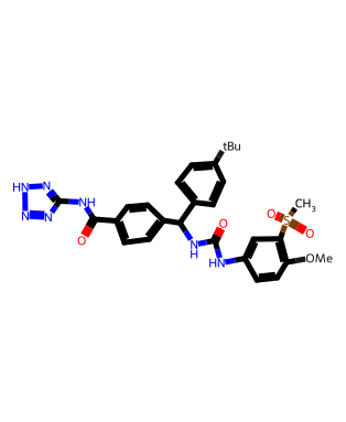 COc1ccc(NC(=O)NC(c2ccc(C(=O)Nc3nn[nH]n3)cc2)c2ccc(C(C)(C)C)cc2)cc1S(C)(=O)=O